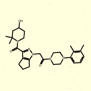 Cc1cccc(N2CCN(C(=O)Cn3nc(C(=O)N4CCC(O)CC4(C)C)c4c3CCC4)CC2)c1C